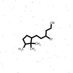 CCC(CCC#N)CCC1CCC(C)C1(C)C